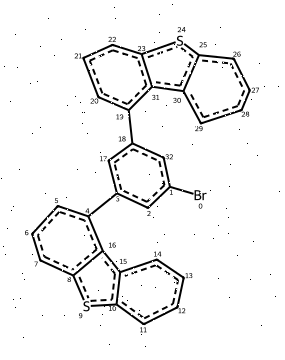 Brc1cc(-c2cccc3sc4ccccc4c23)cc(-c2cccc3sc4ccccc4c23)c1